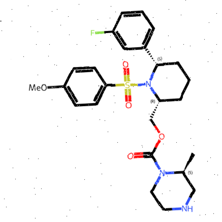 COc1ccc(S(=O)(=O)N2[C@@H](COC(=O)N3CCNC[C@@H]3C)CCC[C@H]2c2cccc(F)c2)cc1